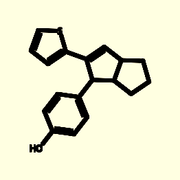 Oc1ccc(C2C(c3cccs3)=CC3CCCC32)cc1